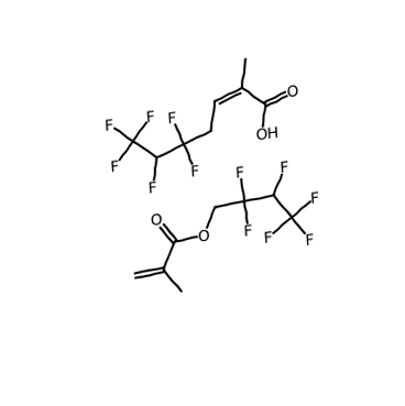 C=C(C)C(=O)OCC(F)(F)C(F)C(F)(F)F.CC(=CCC(F)(F)C(F)C(F)(F)F)C(=O)O